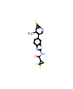 CC1=C(c2ccc3nc(NC(=O)C4CC4(F)F)sc3c2)C=NC2=C(F)[C@@H]12